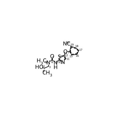 C[C@H](O)CN(C)C(=O)Nc1ncc(Oc2ccccc2C#N)s1